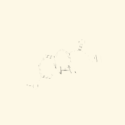 COc1ccc2cc(C(=O)O)nn2c1